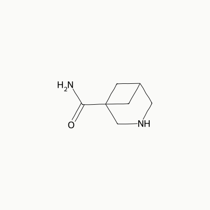 NC(=O)C12CNCC(C1)C2